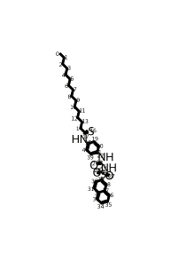 CCCCCCCCCCCCCCCC(=S)Nc1ccc(NC(=O)NS(=O)(=O)c2ccc3ccccc3c2)cc1